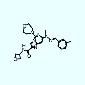 Cc1cccc(/C=N/Nc2cc3nc(C(=O)NC4COC4)cn3c(N3CCOCC3)n2)c1